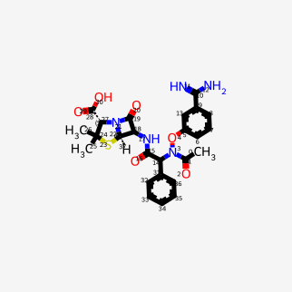 CC(=O)N(Oc1cccc(C(=N)N)c1)C(C(=O)NC1C(=O)N2[C@@H]1SC(C)(C)[C@@H]2C(=O)O)c1ccccc1